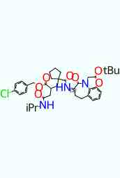 CC(C)NC(=O)CC(CC1(C(=O)N[C@H]2CCc3ccccc3N(CC(=O)OC(C)(C)C)C2=O)CCCC1)C(=O)OCc1ccc(Cl)cc1